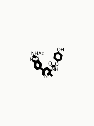 CC(=O)Nc1nc2ccc(-c3cnc(C)c(NC(=O)O[C@H]4CC[C@H](O)CC4)c3)cc2s1